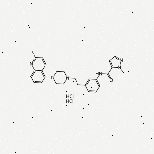 Cc1ccc2c(N3CCN(CCc4cccc(NC(=O)c5ccnn5C)c4)CC3)cccc2n1.Cl.Cl